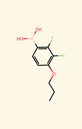 CCCOc1ccc(B(O)O)c(F)c1F